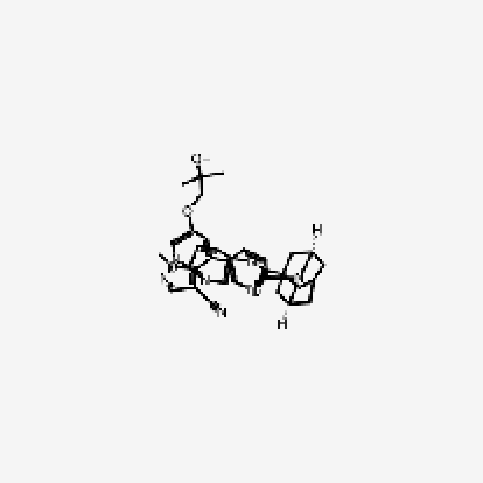 COc1ccc(NC(=O)C23CC4C[C@H](C2)N(c2ccc(-c5cc(OCC(C)(C)O)cn6ncc(C#N)c56)cn2)[C@@H](C4)C3)cn1